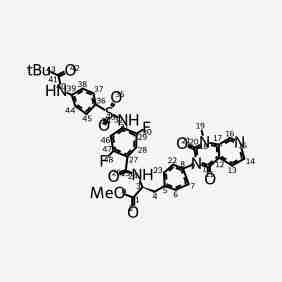 COC(=O)[C@H](Cc1ccc(-n2c(=O)c3ccncc3n(C)c2=O)cc1)NC(=O)c1cc(F)c(NS(=O)(=O)c2ccc(NC(=O)C(C)(C)C)cc2)cc1F